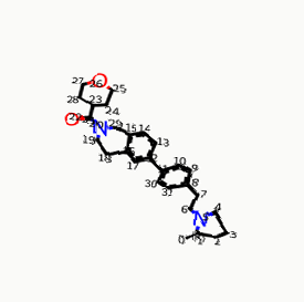 C[C@@H]1CCCN1CCc1ccc(-c2ccc3c(c2)CCN(C(=O)C2CCOCC2)C3)cc1